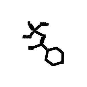 COP(=S)(/N=C(\S)N1CCOCC1)OC